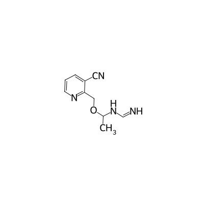 CC(NC=N)OCc1ncccc1C#N